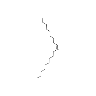 CCCCCCCC/C=[C]\CCCCCCCCC